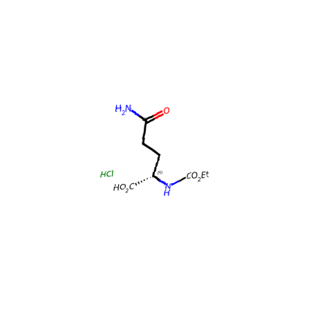 CCOC(=O)N[C@@H](CCC(N)=O)C(=O)O.Cl